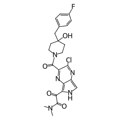 CN(C)C(=O)C(=O)c1[nH]cc2nc(Cl)c(C(=O)N3CCC(O)(Cc4ccc(F)cc4)CC3)nc12